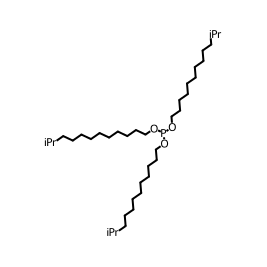 CC(C)CCCCCCCCCCOP(OCCCCCCCCCCC(C)C)OCCCCCCCCCCC(C)C